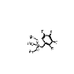 CC(C)O[Si](O)(Cc1cc(F)c(F)c(F)c1F)OC(C)C